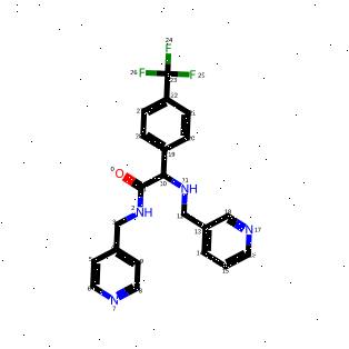 O=C(NCc1ccncc1)C(NCc1cccnc1)c1ccc(C(F)(F)F)cc1